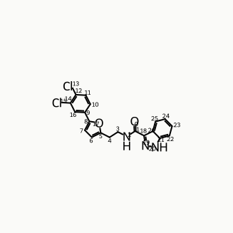 O=C(NCCc1ccc(-c2ccc(Cl)c(Cl)c2)o1)c1n[nH]c2ccccc12